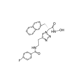 O=C(NCCc1cn([C@H](Cc2ccc3ccccc3c2)C(=O)NO)nn1)c1ccc(F)cc1